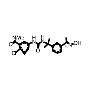 CNC(=O)c1cc(NC(=O)NC(C)(C)c2cccc(/C(C)=N/O)c2)ccc1Cl